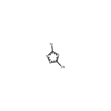 [2H]c1nnc(C#N)s1